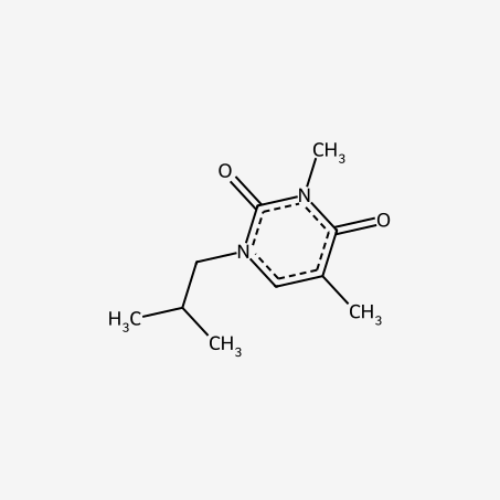 Cc1cn(CC(C)C)c(=O)n(C)c1=O